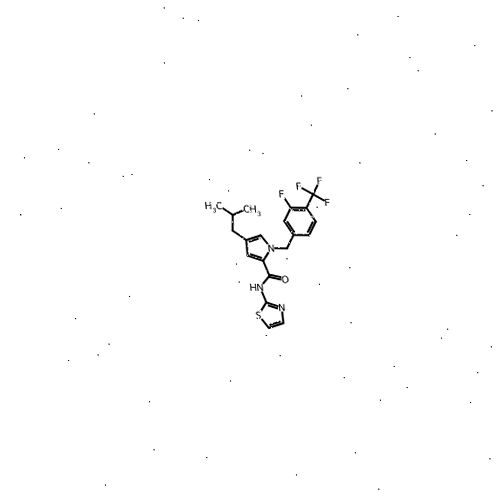 CC(C)Cc1cc(C(=O)Nc2nccs2)n(Cc2ccc(C(F)(F)F)c(F)c2)c1